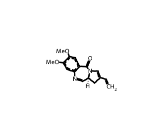 C=CC1=CN2C(=O)c3cc(OC)c(OC)cc3N=C[C@@H]2C1